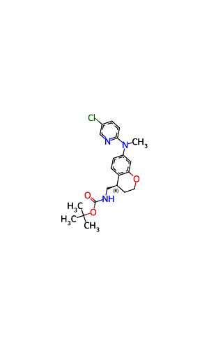 CN(c1ccc2c(c1)OCC[C@H]2CNC(=O)OC(C)(C)C)c1ccc(Cl)cn1